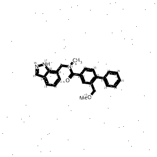 COCc1cc(C(=O)N(C)Cc2cccc3cn[nH]c23)ccc1-c1ccccc1